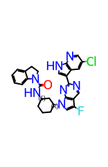 O=C(N[C@H]1CCC[C@@H](n2cc(F)c3cnc(-c4c[nH]c5ncc(Cl)cc45)nc32)C1)N1CCc2ccccc21